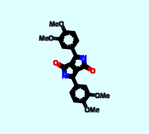 COc1ccc(-c2nc(=O)c3c(-c4ccc(OC)c(OC)c4)nc(=O)c2=3)cc1OC